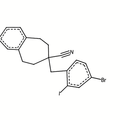 N#CC1(Cc2ccc(Br)cc2I)CCc2ccccc2CC1